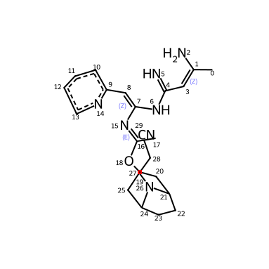 C/C(N)=C/C(=N)NC(=C/c1ccccn1)/N=C(\C)OC1CC2CCC(C1)N2CCC#N